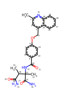 Cc1cc(COc2ccc(C(=O)NC(C)(C(N)=O)C(C)C(N)=O)cc2)c2ccccc2n1